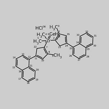 CC1=[C]([Zr]([CH3])([CH3])(=[GeH2])[C]2=C(C)C=C(c3cccc4ccccc34)C2)CC(c2cccc3ccccc23)=C1.Cl